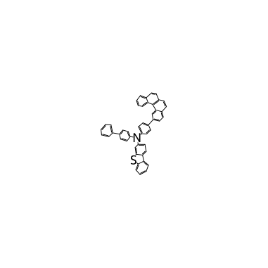 c1ccc(-c2ccc(N(c3ccc(-c4ccc5ccc6ccc7ccccc7c6c5c4)cc3)c3ccc4c(c3)sc3ccccc34)cc2)cc1